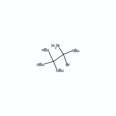 CCCCC(N)(Br)C(CCCC)(CCCC)CCCC